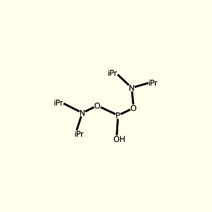 CC(C)N(OP(O)ON(C(C)C)C(C)C)C(C)C